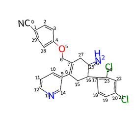 N#Cc1ccc(OCC2=C(c3cccnc3)CC(c3ccc(Cl)cc3Cl)C(N)C2)cc1